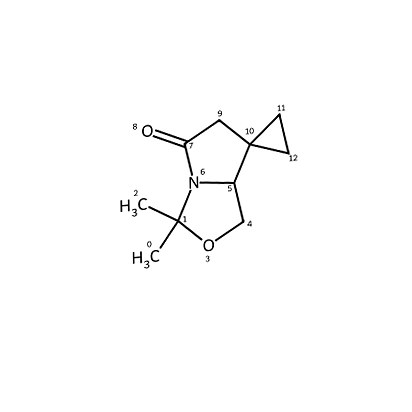 CC1(C)OCC2N1C(=O)CC21CC1